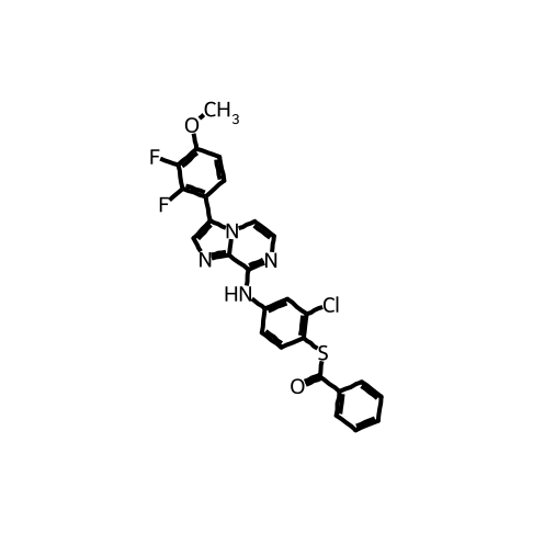 COc1ccc(-c2cnc3c(Nc4ccc(SC(=O)c5ccccc5)c(Cl)c4)nccn23)c(F)c1F